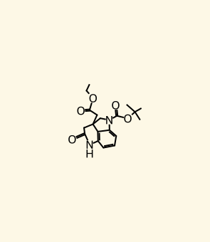 CCOC(=O)CC12CC(=O)Nc3cccc(c31)N(C(=O)OC(C)(C)C)C2